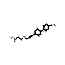 CNCCOCC#Cc1ccc(-c2ccc(C)cc2)cc1